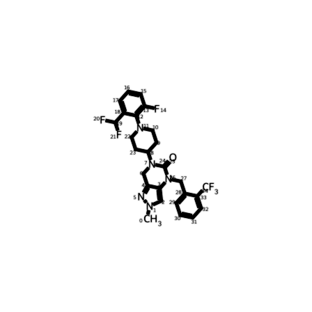 Cn1cc2c(n1)CN(C1CCN(c3c(F)cccc3C(F)F)CC1)C(=O)N2Cc1ccccc1C(F)(F)F